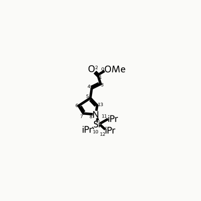 COC(=O)C=Cc1ccn([Si](C(C)C)(C(C)C)C(C)C)c1